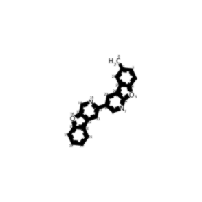 Cc1ccc2oc3ncc(-c4cc5c(cn4)oc4ccccc45)cc3c2c1